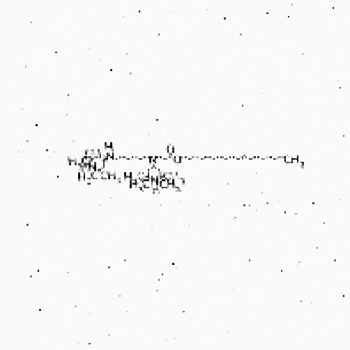 CCCCCCCCCCCCCCCCCCOC(=O)CCN(CCCCCCNC1CC(C)(C)NC(C)(C)C1)C1CC(C)(C)NC(C)(C)C1